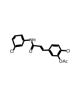 CC(=O)Oc1cc(/C=C/C(=O)Nc2cccc(Cl)c2)ccc1Cl